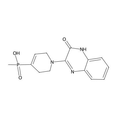 CP(=O)(O)C1=CCN(c2nc3ccccc3[nH]c2=O)CC1